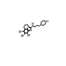 Brc1c(Br)c2c3c(nc(NCCCN4CCNCC4)n3CCC2)c1Br